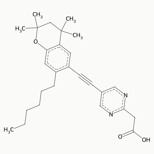 CCCCCCc1cc2c(cc1C#Cc1cnc(CC(=O)O)nc1)C(C)(C)CC(C)(C)O2